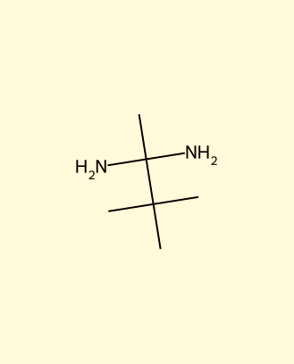 CC(C)(C)C(C)(N)N